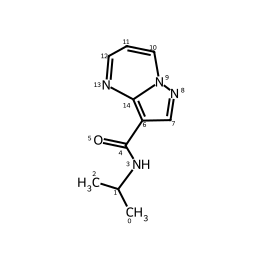 CC(C)NC(=O)c1cnn2cccnc12